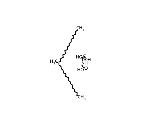 CCCCCCCCCCCCCCCCCCN(C)CCCCCCCCCCCCCCCCCC.O=C(O)CNCP(=O)(O)O